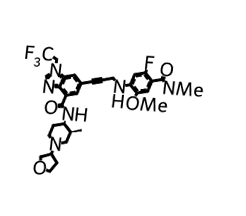 CNC(=O)c1cc(OC)c(NCC#Cc2cc(C(=O)N[C@H]3CCN(C4CCOC4)C[C@@H]3C)c3ncn(CC(F)(F)F)c3c2)cc1F